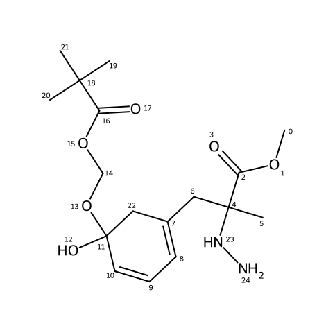 COC(=O)C(C)(CC1=CC=CC(O)(OCOC(=O)C(C)(C)C)C1)NN